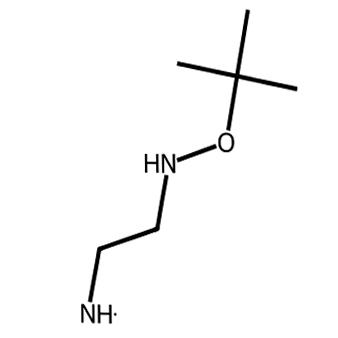 CC(C)(C)ONCC[NH]